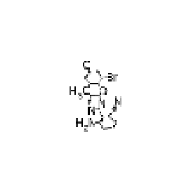 Cc1cc(Cl)cc(Br)c1Oc1ccnc(-c2c(N)cccc2C#N)n1